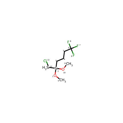 CO[Si](CCCC(F)(F)F)(OC)[SiH2]Cl